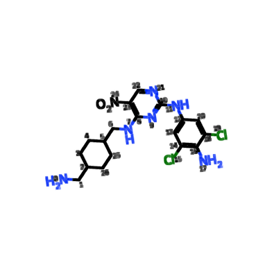 NCC1CCC(CNc2nc(Nc3cc(Cl)c(N)c(Cl)c3)ncc2[N+](=O)[O-])CC1